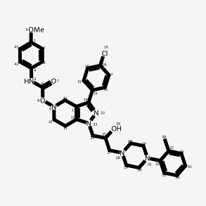 COc1ccc(NC(=O)ON2CCc3c(c(-c4ccc(Cl)cc4)nn3CC(O)CN3CCN(c4ccccc4C)CC3)C2)cc1